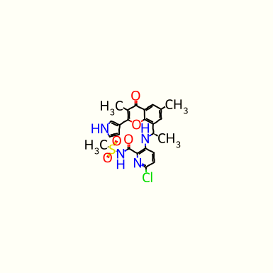 Cc1cc([C@@H](C)Nc2ccc(Cl)nc2C(=O)NS(C)(=O)=O)c2oc(-c3cc[nH]c3)c(C)c(=O)c2c1